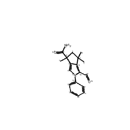 CC1(C)CC(C)(C(N)=O)c2cn(-c3ccccc3)c(C=O)c21